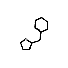 C1CCC(CC2CCC[N]2)CC1